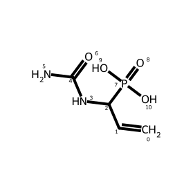 C=CC(NC(N)=O)P(=O)(O)O